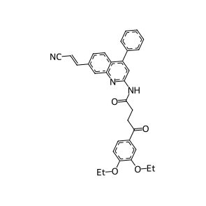 CCOc1ccc(C(=O)CCC(=O)Nc2cc(-c3ccccc3)c3ccc(/C=C/C#N)cc3n2)cc1OCC